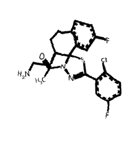 CC(=O)N1N=C(c2cc(F)ccc2Cl)SC12c1cc(F)ccc1CCC2CCN